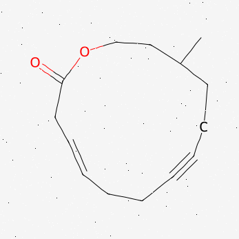 CC1CCC#CCC/C=C/CC(=O)OCC1